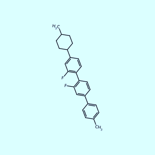 Cc1ccc(-c2ccc(-c3ccc(C4CCC(C)CC4)cc3F)c(F)c2)cc1